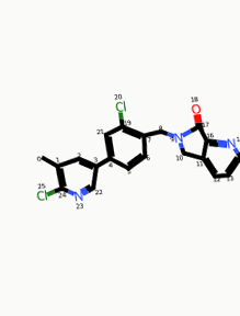 Cc1cc(-c2ccc(CN3Cc4cccnc4C3=O)c(Cl)c2)cnc1Cl